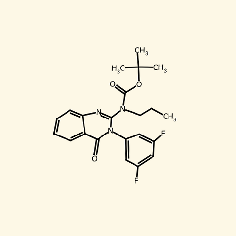 CCCN(C(=O)OC(C)(C)C)c1nc2ccccc2c(=O)n1-c1cc(F)cc(F)c1